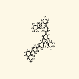 c1ccc(N(c2ccc(-c3ccc(-c4ccccc4-c4cc5ccccc5o4)cc3)cc2)c2ccc(-c3ccc(-c4cccc5ccccc45)cc3)cc2)cc1